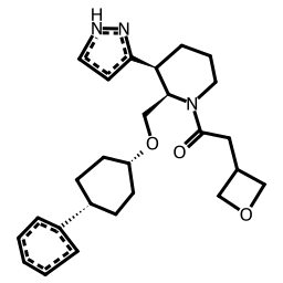 O=C(CC1COC1)N1CCC[C@H](c2cc[nH]n2)[C@@H]1CO[C@H]1CC[C@@H](c2ccccc2)CC1